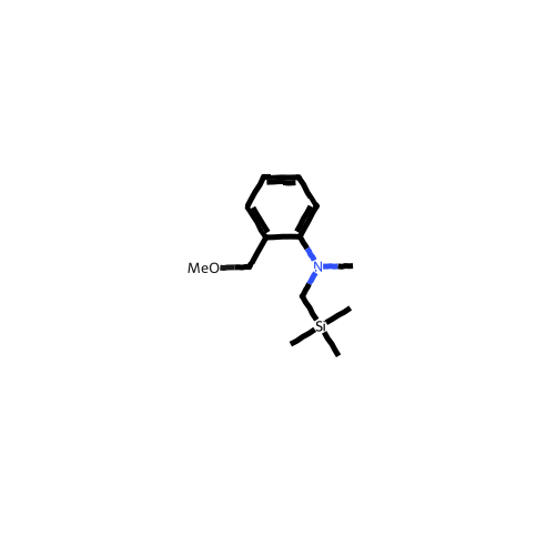 COCc1ccccc1N(C)C[Si](C)(C)C